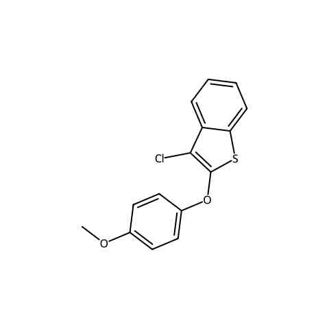 COc1ccc(Oc2sc3ccccc3c2Cl)cc1